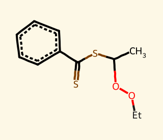 CCOOC(C)SC(=S)c1ccccc1